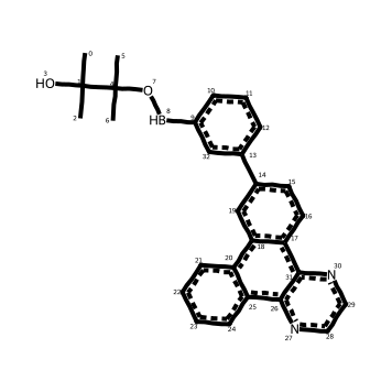 CC(C)(O)C(C)(C)OBc1cccc(-c2ccc3c(c2)c2ccccc2c2nccnc32)c1